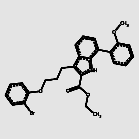 CCOC(=O)c1[nH]c2c(-c3ccccc3OC)cccc2c1CCCOc1ccccc1Br